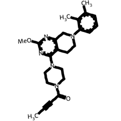 CC#CC(=O)N1CCN(c2nc(OC)nc3c2CCN(c2cccc(C)c2C)C3)CC1